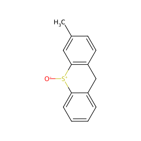 Cc1ccc2c(c1)[S+]([O-])c1ccccc1C2